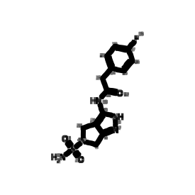 NS(=O)(=O)N1Cc2n[nH]c(NC(=O)Cc3ccc(F)cc3)c2C1